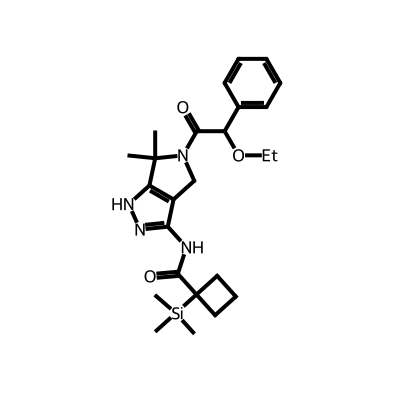 CCOC(C(=O)N1Cc2c(NC(=O)C3([Si](C)(C)C)CCC3)n[nH]c2C1(C)C)c1ccccc1